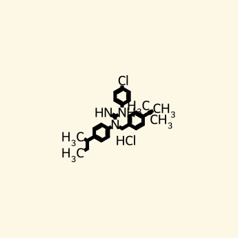 CCC(C)c1ccc(N(Cc2ccc(C(C)(C)C)cc2)C(=N)Nc2ccc(Cl)cc2)cc1.Cl